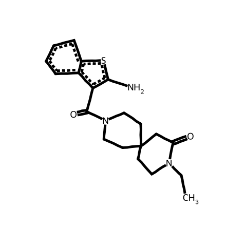 CCN1CCC2(CCN(C(=O)c3c(N)sc4ccccc34)CC2)CC1=O